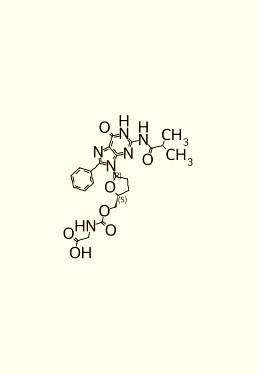 CC(C)C(=O)Nc1nc2c(nc(-c3ccccc3)n2[C@H]2CC[C@@H](COC(=O)NCC(=O)O)O2)c(=O)[nH]1